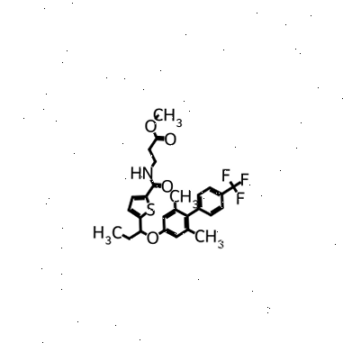 CCC(Oc1cc(C)c(-c2ccc(C(F)(F)F)cc2)c(C)c1)c1ccc(C(=O)NCCC(=O)OC)s1